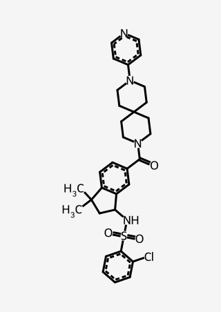 CC1(C)CC(NS(=O)(=O)c2ccccc2Cl)c2cc(C(=O)N3CCC4(CC3)CCN(c3ccncc3)CC4)ccc21